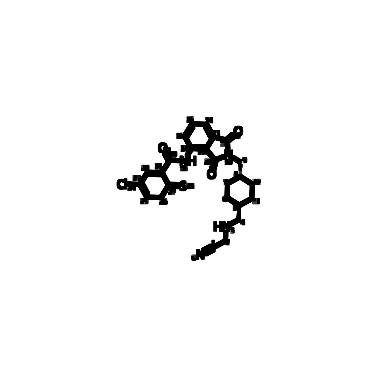 N#CCNC[C@H]1CC[C@H](CN2C(=O)c3cccc(NC(=O)C4=CC(Cl)=CCC4=S)c3C2=O)CC1